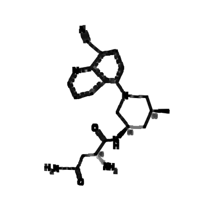 C[C@H]1C[C@@H](NC(=O)[C@H](N)CC(N)=O)CN(c2ccc(C#N)c3ncccc23)C1